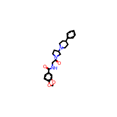 O=C(NCC(=O)N1CCC(N2CCC(c3ccccc3)CC2)C1)c1ccc2c(c1)OCO2